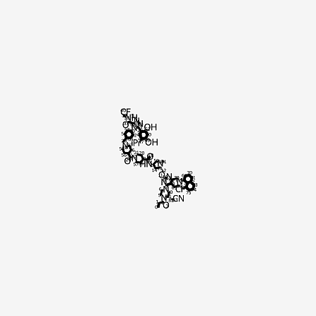 C=CC(=O)N1CCN(c2nc(OC[C@@H]3C[C@H](NC(=O)C4CCN(C(=O)C5CCN(Cc6ccc(-n7c(C(=O)NCC(F)(F)F)nnc7-c7cc(C(C)C)c(O)cc7O)cc6)CC5)CC4)CN3C)nc3c2CCN(c2cccc4cccc(Cl)c24)C3)C[C@@H]1CC#N